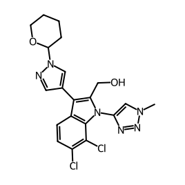 Cn1cc(-n2c(CO)c(-c3cnn(C4CCCCO4)c3)c3ccc(Cl)c(Cl)c32)nn1